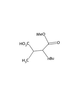 CCCCC(C(=O)OC)C(C)C(=O)O